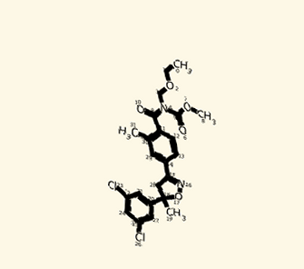 CCOCN(C(=O)OC)C(=O)c1ccc(C2=NOC(C)(c3cc(Cl)cc(Cl)c3)C2)cc1C